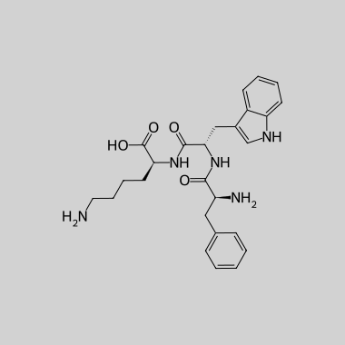 NCCCC[C@H](NC(=O)[C@H](Cc1c[nH]c2ccccc12)NC(=O)[C@@H](N)Cc1ccccc1)C(=O)O